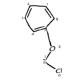 [Cl][Ti][O]c1ccccc1